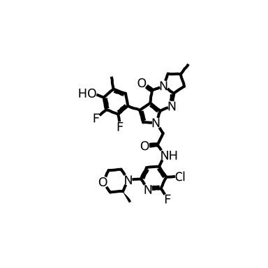 Cc1cc(-c2cn(CC(=O)Nc3cc(N4CCOC[C@@H]4C)nc(F)c3Cl)c3nc4n(c(=O)c23)CC(C)C4)c(F)c(F)c1O